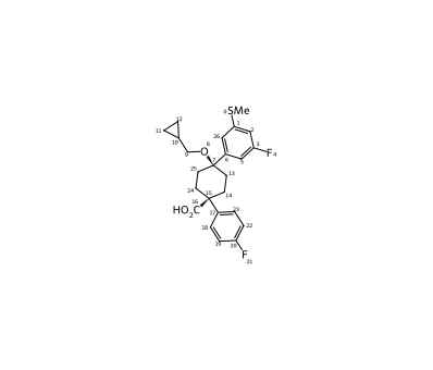 CSc1cc(F)cc([C@]2(OCC3CC3)CC[C@](C(=O)O)(c3ccc(F)cc3)CC2)c1